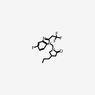 CCCC1CC(=O)N(Cn2c(CC(F)(F)F)nc3cc(F)ccc32)C1